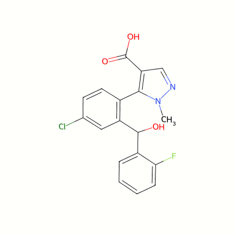 Cn1ncc(C(=O)O)c1-c1ccc(Cl)cc1C(O)c1ccccc1F